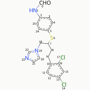 O=CNc1ccc(SC(CCc2ccc(Cl)cc2Cl)Cn2ccnc2)cc1